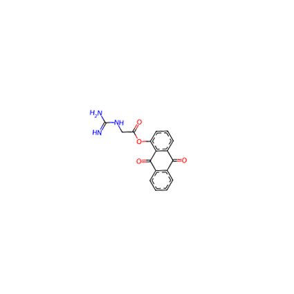 N=C(N)NCC(=O)Oc1cccc2c1C(=O)c1ccccc1C2=O